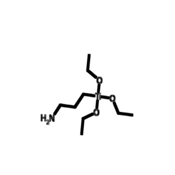 CC[O][Ti]([CH2]CCN)([O]CC)[O]CC